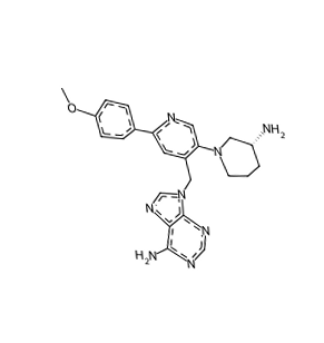 COc1ccc(-c2cc(Cn3cnc4c(N)ncnc43)c(N3CCC[C@@H](N)C3)cn2)cc1